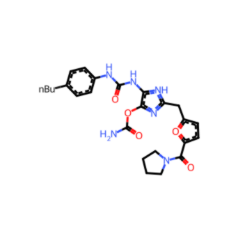 CCCCc1ccc(NC(=O)Nc2[nH]c(Cc3ccc(C(=O)N4CCCC4)o3)nc2OC(N)=O)cc1